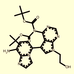 CC(C)(C)OC(=O)N(C(=O)OC(C)(C)C)c1ncnc2c1c(-c1ccc(N)c3nccn13)cn2CCO